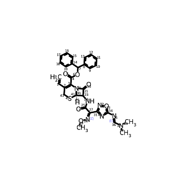 C=CC1=C(C(=O)OC(c2ccccc2)c2ccccc2)N2C(=O)C(NC(=O)/C(=N\OC)c3noc(/N=C/N(C)C)n3)[C@H]2SC1